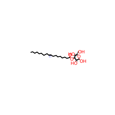 CCCCCCCC/C=C/CCCCCCCC(=O)O[C@H]1[C@H](O)[C@@H](CO)OC(O)[C@@H]1O